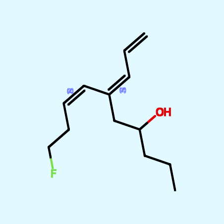 C=C/C=C(\C=C/CCF)CC(O)CCC